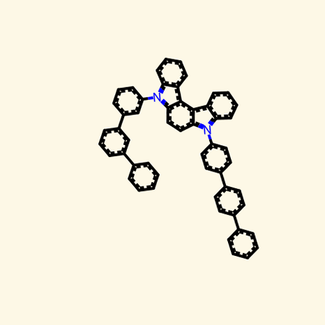 c1ccc(-c2ccc(-c3ccc(-n4c5ccccc5c5c6c7ccccc7n(-c7cccc(-c8cccc(-c9ccccc9)c8)c7)c6ccc54)cc3)cc2)cc1